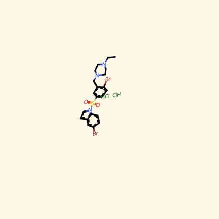 CCN1CCN(Cc2cc(S(=O)(=O)n3ccc4cc(Br)ccc43)ccc2Br)CC1.Cl.Cl